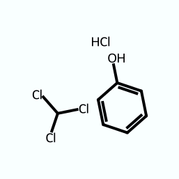 Cl.ClC(Cl)Cl.Oc1ccccc1